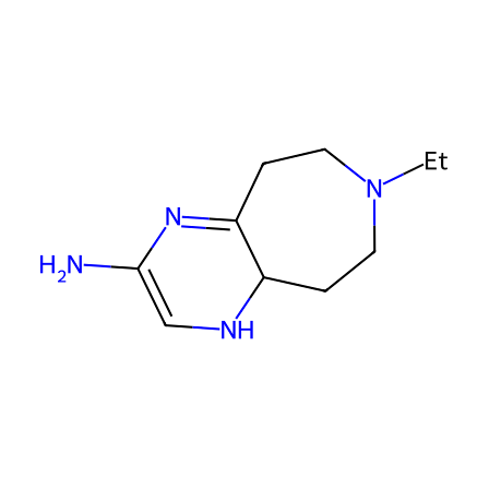 CCN1CCC2=NC(N)=CNC2CC1